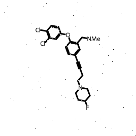 CNCc1cc(C#CCCN2CCC(F)CC2)ccc1Oc1ccc(Cl)c(Cl)c1